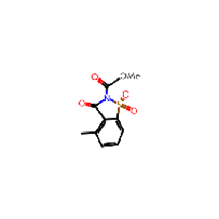 COC(=O)N1C(=O)c2c(C)cccc2S1(=O)=O